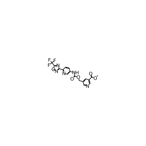 COC(=O)c1cncc(COC(=O)Nc2ccc(-c3noc(C(F)(F)F)n3)nc2)c1